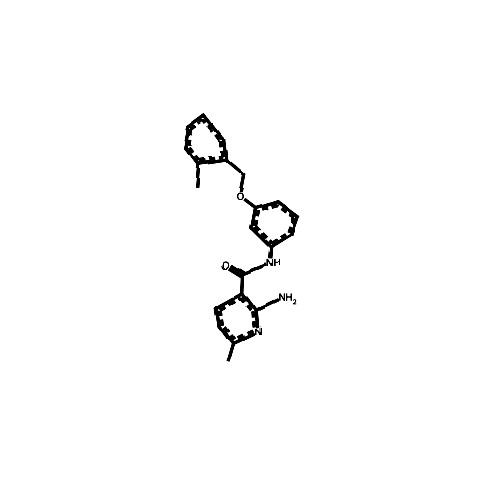 Cc1ccc(C(=O)Nc2cccc(OCc3ccccc3C)c2)c(N)n1